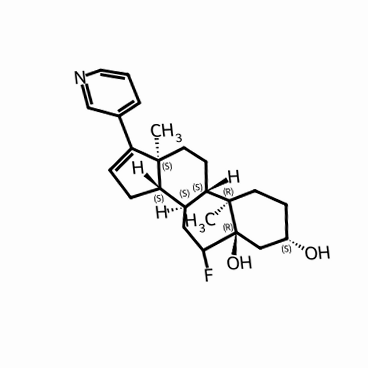 C[C@]12CC[C@H]3[C@@H](CC(F)[C@@]4(O)C[C@@H](O)CC[C@]34C)[C@@H]1CC=C2c1cccnc1